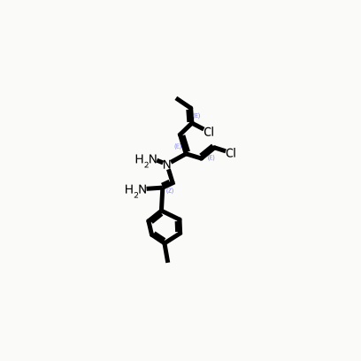 C\C=C(Cl)/C=C(\C=C\Cl)N(N)/C=C(\N)c1ccc(C)cc1